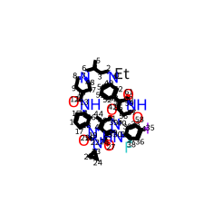 CCN(CCC(C)CN1CCC(C(=O)Nc2cccc(-n3c(=O)n(C4CC4)c(=O)c4c(Nc5ccc(I)cc5F)n(C)c(=O)c(C)c43)c2)CC1)c1cccc(C2CCC(=O)NC2=O)c1